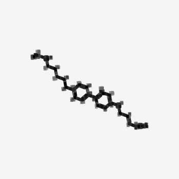 CCCCCCCCC=CCOc1ccc(-c2ccc(CCCCCOCCC)cc2)nc1